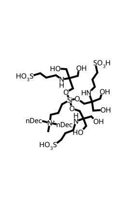 CCCCCCCCCC[N+](C)(CCCCCCCCCC)CCC[Si](OCC(CO)(CO)NCCCS(=O)(=O)O)(OCC(CO)(CO)NCCCS(=O)(=O)O)OCC(CO)(CO)NCCCS(=O)(=O)O